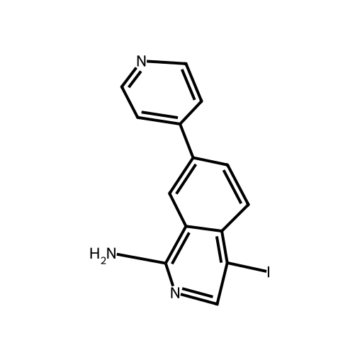 Nc1ncc(I)c2ccc(-c3ccncc3)cc12